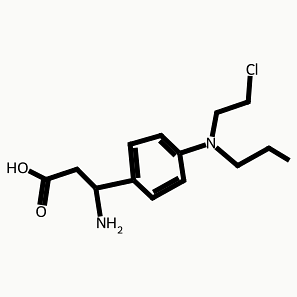 CCCN(CCCl)c1ccc(C(N)CC(=O)O)cc1